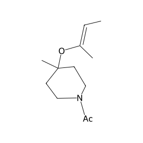 C/C=C(\C)OC1(C)CCN(C(C)=O)CC1